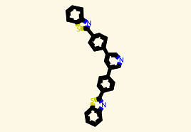 c1ccc2sc(-c3ccc(-c4cncc(-c5ccc(-c6nc7ccccc7s6)cc5)c4)cc3)nc2c1